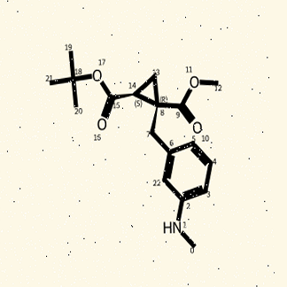 CNc1cccc(C[C@]2(C(=O)OC)C[C@@H]2C(=O)OC(C)(C)C)c1